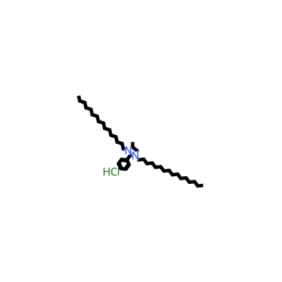 CCCCCCCCCCCCCCCCN1CC(C)N(CCCCCCCCCCCCCCCC)C1c1ccccc1.Cl